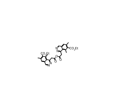 CCOC(=O)c1c(C)cc2cnnc(CC(=O)OC(=O)Cc3nncc4cc(C)c(C(=O)OCC)c(C)c34)c2c1C